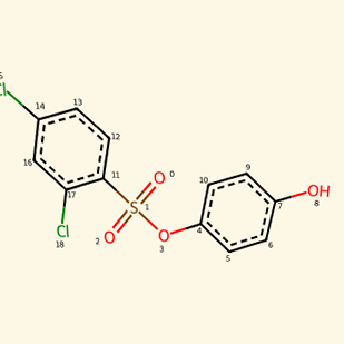 O=S(=O)(Oc1ccc(O)cc1)c1ccc(Cl)cc1Cl